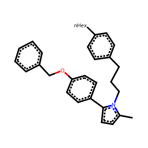 CCCCCCc1ccc(CCCn2c(C)ccc2-c2ccc(OCc3ccccc3)cc2)cc1